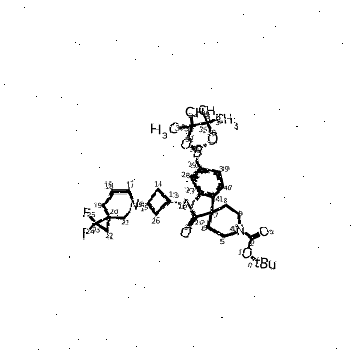 CC(C)(C)OC(=O)N1CCC2(CC1)C(=O)N([C@H]1C[C@@H](N3CCCC4(C3)CC4(F)F)C1)c1cc(B3OC(C)(C)C(C)(C)O3)ccc12